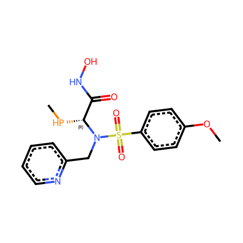 COc1ccc(S(=O)(=O)N(Cc2ccccn2)[C@H](PC)C(=O)NO)cc1